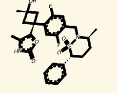 Cc1[nH]c(=O)oc1[C@]1(c2cc(F)c(CN3[C@@H](C)CC[C@H](c4ccccc4)S3(=O)=O)cc2F)C[C@@](C)(O)C1